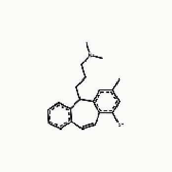 Cc1cc(S)c2c(c1)C(CCCN(C)C)c1ccccc1C=C2